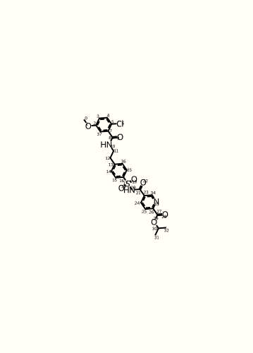 COc1ccc(Cl)c(C(=O)NCCc2ccc(S(=O)(=O)NC(=O)c3ccc(C(=O)OC(C)C)nc3)cc2)c1